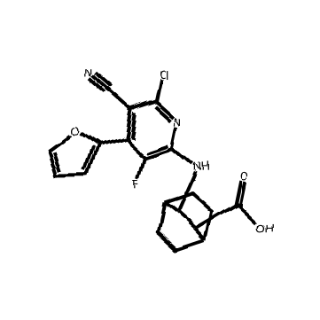 N#Cc1c(Cl)nc(NC2C3CCC(CC3)C2C(=O)O)c(F)c1-c1ccco1